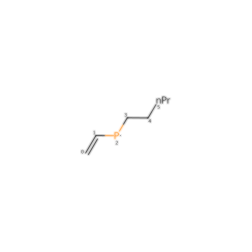 C=C[P]CCCCC